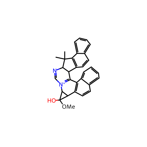 COC1(O)C2c3ccc4ccccc4c3C3=[N+](C=NC4C3c3ccc5ccccc5c3C4(C)C)C21